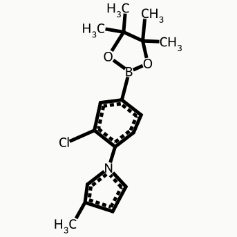 Cc1ccn(-c2ccc(B3OC(C)(C)C(C)(C)O3)cc2Cl)c1